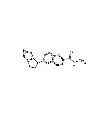 CNC(=O)c1ccc2cc(C3CCn4cncc43)ccc2c1